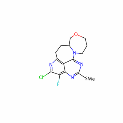 CSc1nc2c3c(nc(Cl)c(F)c3n1)CCC1COCCCN21